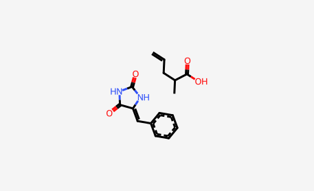 C=CCC(C)C(=O)O.O=C1NC(=O)C(=Cc2ccccc2)N1